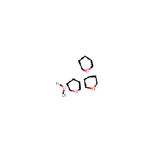 C1CCOCC1.C1CCOCC1.C1CCOCC1.CCOCC